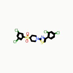 O=S(=O)(c1cc(Cl)cc(Cl)c1)C1CCN(c2nc(-c3ccc(Cl)cc3Cl)cs2)CC1